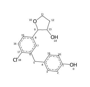 Oc1ccc(Cc2cc(C3OCCC3O)ccc2Cl)cc1